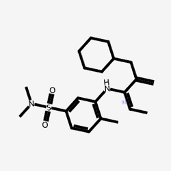 C=C(CC1CCCCC1)/C(=C\C)Nc1cc(S(=O)(=O)N(C)C)ccc1C